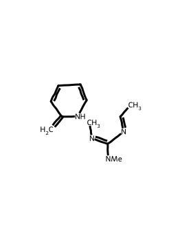 C=C1C=CC=CN1.CC=NC(=NC)NC